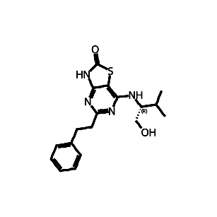 CC(C)[C@H](CO)Nc1nc(CCc2ccccc2)nc2[nH]c(=O)sc12